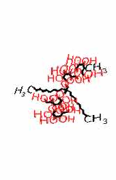 CCCCCCCCCCC(CCCCCCCCCC)(CO[C@H]1OC(CO)[C@H](O[C@H]2OC(CO)[C@H](C)C(O)[C@H]2O)C(O)[C@H]1O)CO[C@H]1OC(CO)[C@H](O[C@H]2OC(CO)[C@H](O)C(O)[C@H]2O)C(O)[C@H]1O